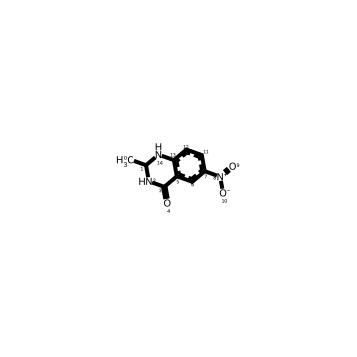 CC1NC(=O)c2cc([N+](=O)[O-])ccc2N1